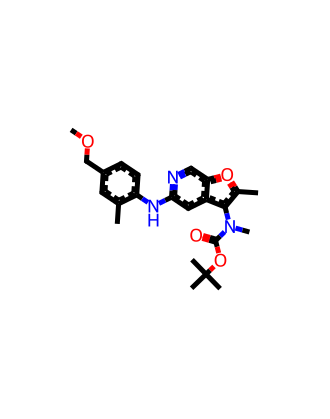 COCc1ccc(Nc2cc3c(N(C)C(=O)OC(C)(C)C)c(C)oc3cn2)c(C)c1